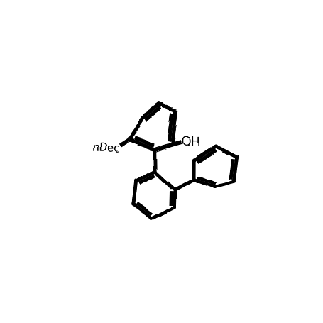 CCCCCCCCCCc1cccc(O)c1-c1ccccc1-c1ccccc1